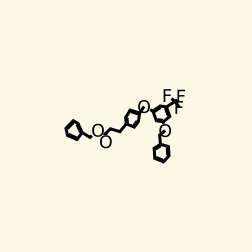 O=C(CCc1ccc(Oc2cc(OCc3ccccc3)cc(C(F)(F)F)c2)cc1)OCc1ccccc1